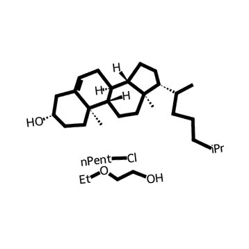 CC(C)CCCC(C)[C@H]1CC[C@H]2[C@@H]3CC=C4C[C@@H](O)CC[C@]4(C)[C@H]3CC[C@]12C.CCCCCCl.CCOCCO